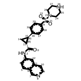 O=C(Nc1ccc2cnccc2c1)[C@@H]1C[C@H]1c1ccc(S(=O)(=O)N2CCNCC2)cc1